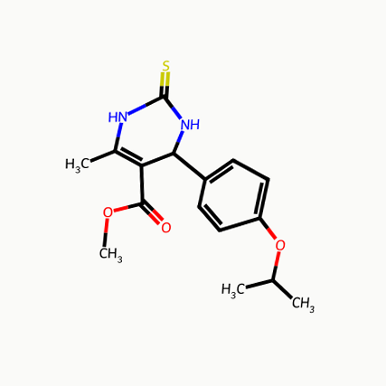 COC(=O)C1=C(C)NC(=S)NC1c1ccc(OC(C)C)cc1